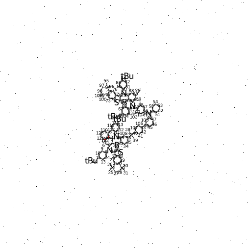 Cc1cc2c3c(c1)N(c1ccc(C(C)(C)C)cc1)c1c(sc4cc5c(cc14)C(C)(C)CCC5(C)C)B3c1ccc(C(C)(C)c3ccc(-c4cccc(N(c5ccccc5)c5cc(C)c(N6c7ccc(C(C)(C)C)cc7B7c8sc9cc%10c(cc9c8N(c8ccc(C(C)(C)C)cc8)c8cc(C)cc6c87)C(C)(C)CCC%10(C)C)c(C)c5)c4)cc3)cc1N2c1ccc(C(C)(C)C)cc1-c1ccccc1